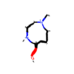 CN1CC[N]C(=O)CC1